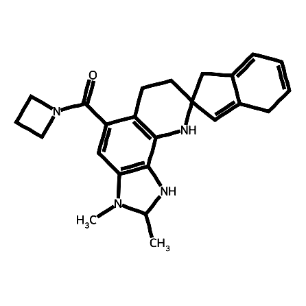 CC1Nc2c(cc(C(=O)N3CCC3)c3c2NC2(C=C4CC=CC=C4C2)CC3)N1C